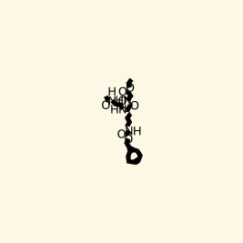 CCOC(=O)CNC(=O)[C@H](CCCCNC(=O)OCC1C2CCC#CCCC21)NC(=O)CNC(C)=O